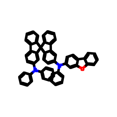 c1ccc(N(c2ccccc2)c2ccc3c(c2)C2(c4ccccc4-c4cc(N(c5ccccc5)c5ccc6c(c5)oc5ccccc56)ccc42)c2ccccc2-3)cc1